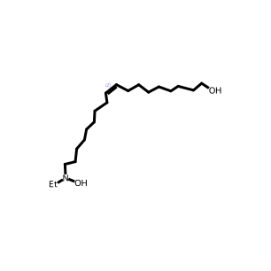 CCN(O)CCCCCCCC/C=C\CCCCCCCCO